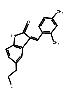 Cc1ccc(C=C2C(=O)Nc3ccc(CCCl)cc32)c(C)c1